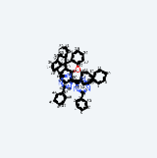 c1ccc(-c2nc(-c3ccccc3)nc(-c3cccc4c3Oc3ccccc3C43c4ccccc4-c4cccc(-c5nc(-c6ccccc6)nc(-c6ccccc6)n5)c43)n2)cc1